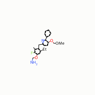 CCc1cc(OCN)c(F)c(C)c1Cc1ccc(OCOC)c(-c2ccccc2)n1